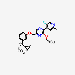 Cc1cc(-c2ncc(COc3cccc([C@@H](CC(=O)O)C4CC4)c3)nc2OCC(C)(C)C)c(F)cn1